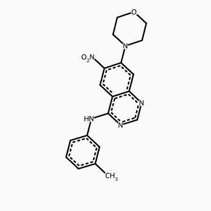 Cc1cccc(Nc2ncnc3cc(N4CCOCC4)c([N+](=O)[O-])cc23)c1